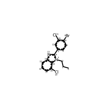 CCCn1c(-c2ccc(Br)c(Cl)c2)nc2cccc(Cl)c21